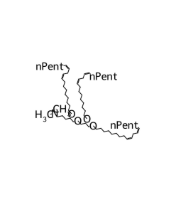 CCCCC/C=C\C/C=C\CCCCCCCCOCC(COCC(CCCN(C)C)OCCCCCCCC/C=C\C/C=C\CCCCC)OCCCCCCCC/C=C\C/C=C\CCCCC